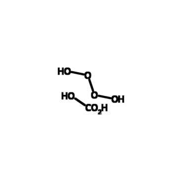 O=C(O)O.OOOO